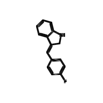 Fc1ccc(C=C2CNc3ccccc32)cc1